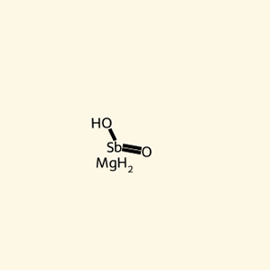 [MgH2].[O]=[Sb][OH]